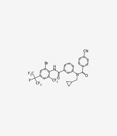 N#Cc1ccc(C(=O)N(CC2CC2)c2cccc(C(=O)Nc3c(Br)cc(C(F)(C(F)(F)F)C(F)(F)F)cc3C(F)(F)F)c2)cc1